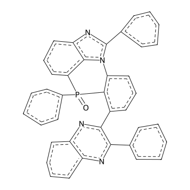 O=P1(c2ccccc2)c2c(-c3nc4ccccc4nc3-c3ccccc3)cccc2-n2c(-c3ccccc3)nc3cccc1c32